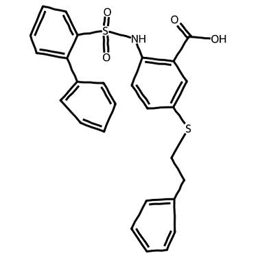 O=C(O)c1cc(SCCc2ccccc2)ccc1NS(=O)(=O)c1ccccc1-c1ccccc1